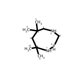 CC1(C)CNCPNC(C)(C)C1